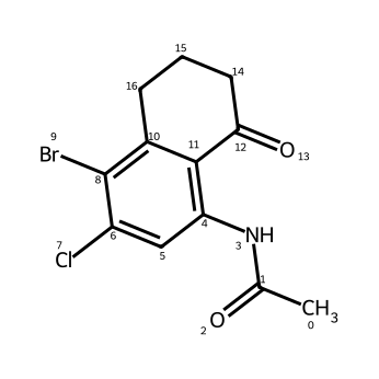 CC(=O)Nc1cc(Cl)c(Br)c2c1C(=O)CCC2